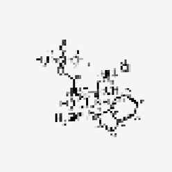 CC(C)(C)[NH][Ti]([CH3])(=[SiH2])([CH2]CCO[Si](C)(C)C)[CH]1C=Cc2ccccc21.Cl.Cl